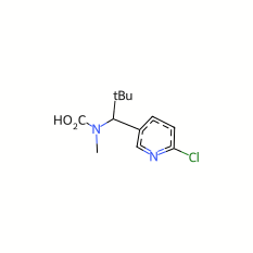 CN(C(=O)O)C(c1ccc(Cl)nc1)C(C)(C)C